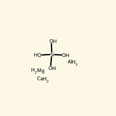 O[Si](O)(O)O.[AlH3].[CaH2].[MgH2]